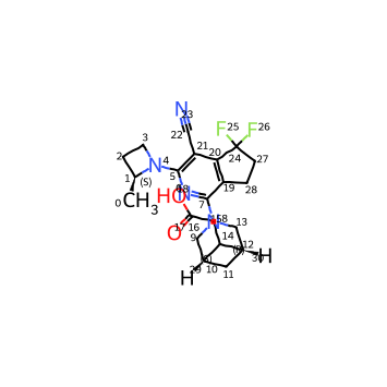 C[C@H]1CCN1c1nc(N2C[C@H]3C[C@@H](C2)C3CC(=O)O)c2c(c1C#N)C(F)(F)CC2